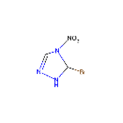 O=[N+]([O-])N1C=NNC1Br